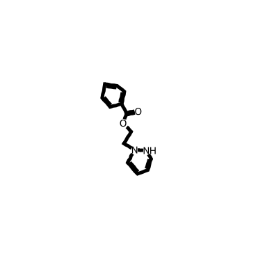 O=C(OCCN1C=CC=CN1)c1ccccc1